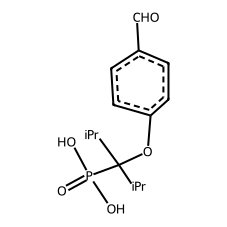 CC(C)C(Oc1ccc(C=O)cc1)(C(C)C)P(=O)(O)O